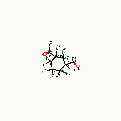 O=C(F)C1(F)C(F)(F)C(F)(F)C(F)(F)C(F)(C(=O)F)C1(F)F